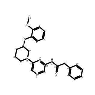 CCOc1ccccc1O[C@@H]1CCCN(c2cncc(NC(=O)Cc3ccccc3)n2)C1